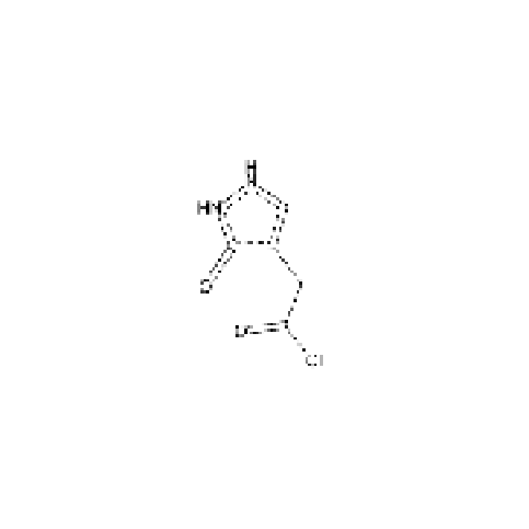 O=C(O)Cc1c[nH][nH]c1=O